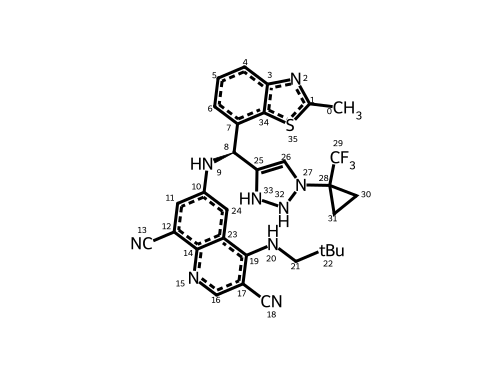 Cc1nc2cccc([C@H](Nc3cc(C#N)c4ncc(C#N)c(NCC(C)(C)C)c4c3)C3=CN(C4(C(F)(F)F)CC4)NN3)c2s1